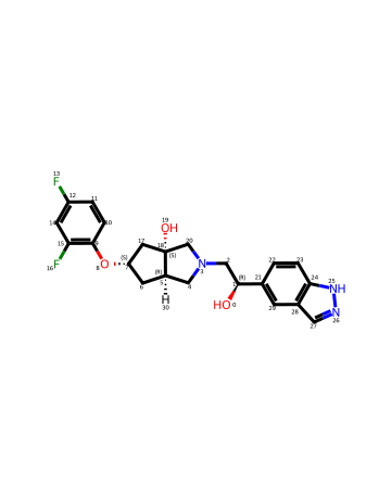 O[C@@H](CN1C[C@H]2C[C@H](Oc3ccc(F)cc3F)C[C@@]2(O)C1)c1ccc2[nH]ncc2c1